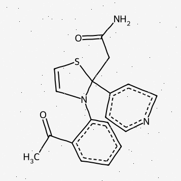 CC(=O)c1ccccc1N1C=CSC1(CC(N)=O)c1ccncc1